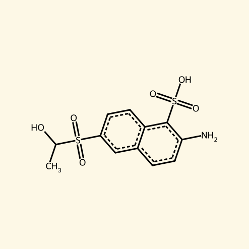 CC(O)S(=O)(=O)c1ccc2c(S(=O)(=O)O)c(N)ccc2c1